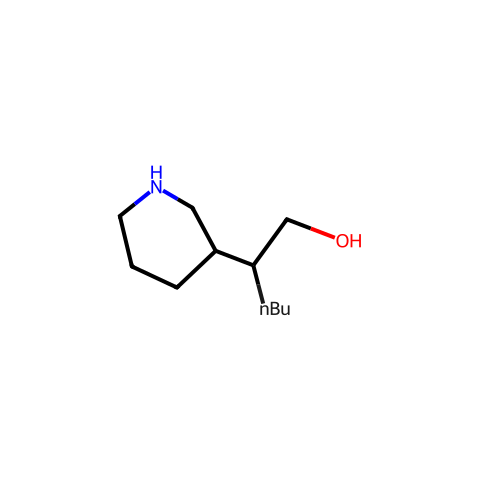 CCCCC(CO)C1CCCNC1